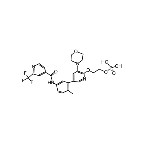 Cc1ccc(NC(=O)c2ccnc(C(F)(F)F)c2)cc1-c1cnc(OCCOP(=O)(O)O)c(N2CCOCC2)c1